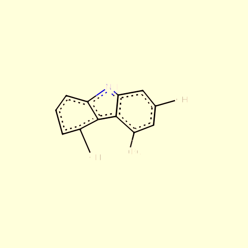 Cc1cc(C(C)(C)C)c2c(c1)[nH]c1cccc(C)c12